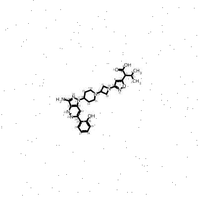 CC(C)C(C(=O)O)c1cc(N2CC(N3CCC(n4nc(N)c5nnc(-c6ccccc6O)cc54)CC3)C2)no1